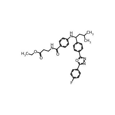 CCOC(=O)CCNC(=O)c1ccc(NC(CC(C)C)c2ccc(-c3nnc(-c4ccc(F)cc4)o3)cc2)cc1